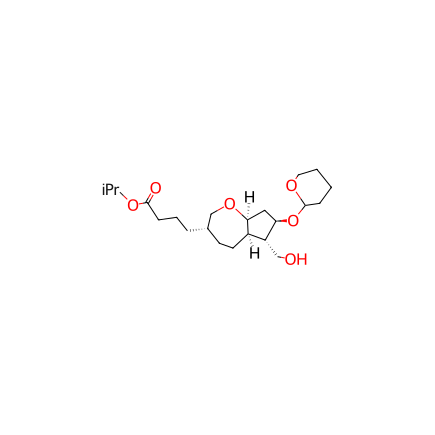 CC(C)OC(=O)CCC[C@H]1CC[C@@H]2[C@@H](CO)[C@H](OC3CCCCO3)C[C@@H]2OC1